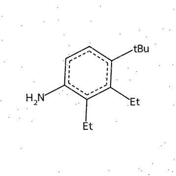 CCc1c(N)ccc(C(C)(C)C)c1CC